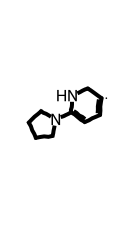 [C]1=CC=C(N2CCCC2)NC1